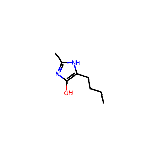 CCCCc1[nH]c(C)nc1O